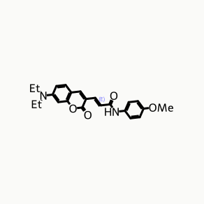 CCN(CC)c1ccc2cc(/C=C/C(=O)Nc3ccc(OC)cc3)c(=O)oc2c1